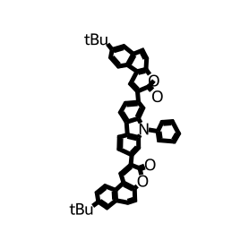 CC(C)(C)c1ccc2c(ccc3oc(=O)c(-c4ccc5c6ccc(-c7cc8c(ccc9cc(C(C)(C)C)ccc98)oc7=O)cc6n(-c6ccccc6)c5c4)cc32)c1